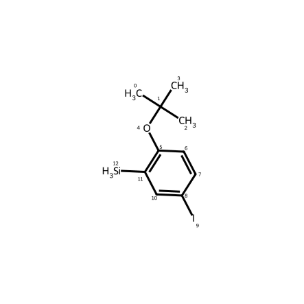 CC(C)(C)Oc1ccc(I)cc1[SiH3]